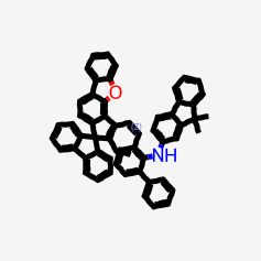 C=CC1=C(/C=C\c2cccc(-c3ccccc3)c2Nc2ccc3c(c2)C(C)(C)c2ccccc2-3)c2c(ccc3c2oc2ccccc23)C12c1ccccc1-c1ccccc12